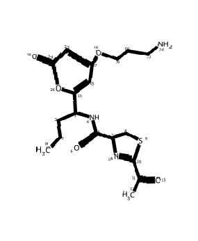 CCCC(NC(=O)C1CSC(C(C)=O)=N1)c1cc(OCCCN)cc(=O)o1